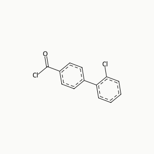 O=C(Cl)c1ccc(-c2ccccc2Cl)cc1